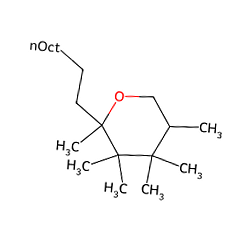 CCCCCCCCCCC1(C)OCC(C)C(C)(C)C1(C)C